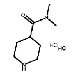 CN(C)C(=O)C1CCNCC1.Cl.Cl